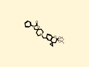 CC1(C)CC2(CC2)c2cc(CN3CCC4(CC3)CN(c3ccccc3)C(=O)O4)ccc2O1